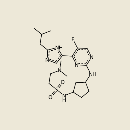 CC(C)Cc1ncc(-c2nc(NC3CCC(NS(=O)(=O)CCN(C)C)C3)ncc2F)[nH]1